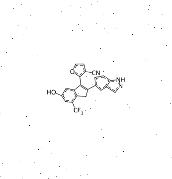 N#Cc1ccoc1C1=C(c2ccc3[nH]ncc3c2)Cc2c1cc(O)cc2C(F)(F)F